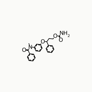 CN(C(=O)c1ccccc1)c1cccc(OC(CCOC(N)=O)c2ccccc2)c1